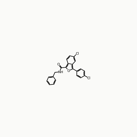 O=C(NCc1ccccc1)c1oc(-c2ccc(Cl)cc2)c2cc(Cl)ccc12